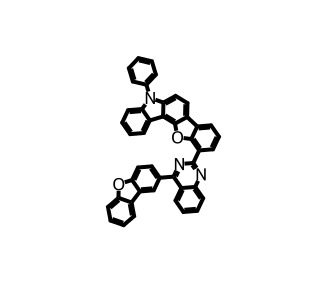 c1ccc(-n2c3ccccc3c3c4oc5c(-c6nc(-c7ccc8oc9ccccc9c8c7)c7ccccc7n6)cccc5c4ccc32)cc1